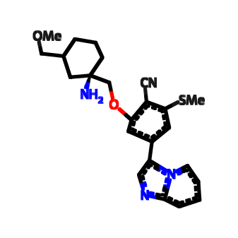 COCC1CCC[C@](N)(COc2cc(-c3cnc4ccccn34)cc(SC)c2C#N)C1